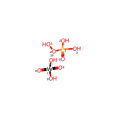 O=P(O)(O)OO.[O]=[W](=[O])([OH])[OH]